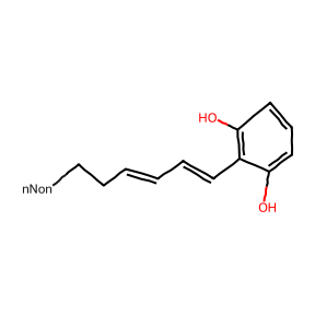 CCCCCCCCCCCC=CC=Cc1c(O)cccc1O